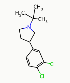 CC(C)(C)N1CCC(c2ccc(Cl)c(Cl)c2)C1